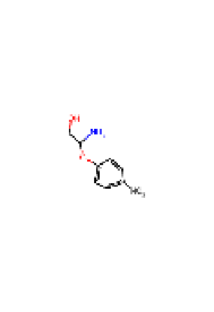 NC(CO)Oc1ccc([N+](=O)[O-])cc1